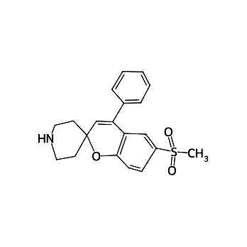 CS(=O)(=O)c1ccc2c(c1)C(c1ccccc1)=CC1(CCNCC1)O2